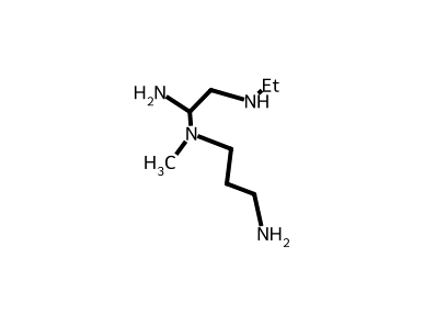 CCNCC(N)N(C)CCCN